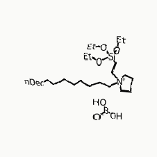 CCCCCCCCCCCCCCCCCC[N+]1(CC[Si](OCC)(OCC)OCC)CCCC1.[O-]B(O)O